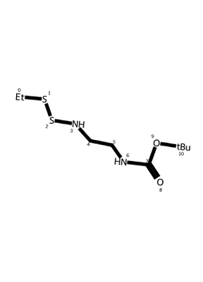 CCSSNCCNC(=O)OC(C)(C)C